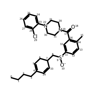 CCCCC1=CCC(C[S+]([O-])c2ccc(C)c(C(=O)N3CCN(c4ccccc4Cl)CC3)c2)C=C1